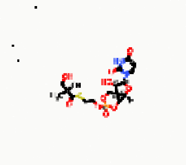 CC(C)(CO)C(=O)SCCO[P@@]1(=O)OC[C@]23C(O1)[C@H]2O[C@@H](n1ccc(=O)[nH]c1=O)[C@@H]3O